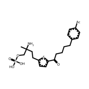 CC(=O)c1ccc(CCCCC(=O)c2ccc(CCC(C)(N)COP(=O)(O)O)s2)cc1